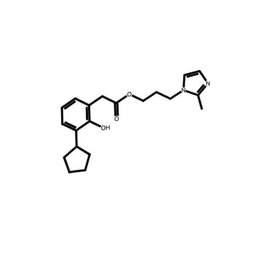 Cc1nccn1CCCOC(=O)Cc1cccc(C2CCCC2)c1O